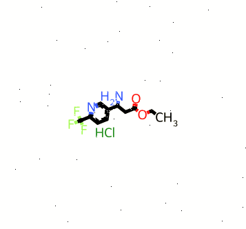 CCOC(=O)CC(N)c1ccc(C(F)(F)F)nc1.Cl